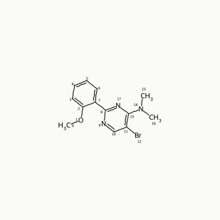 COc1ccccc1-c1ncc(Br)c(N(C)C)n1